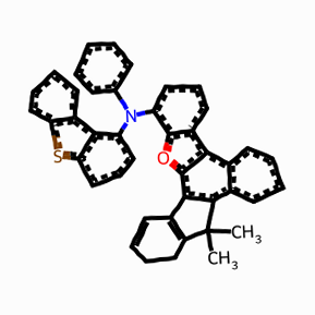 CC1(C)C2=C(C=CCC2)c2c1c1ccccc1c1c2oc2c(N(c3ccccc3)c3cccc4sc5ccccc5c34)cccc21